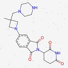 CC1(CN2CCNCC2)CN(c2ccc3c(c2)C(=O)N(C2CCC(=O)NC2=O)C3=O)C1